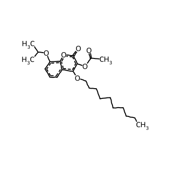 CCCCCCCCCCOc1c(OC(C)=O)c(=O)oc2c(OC(C)C)cccc12